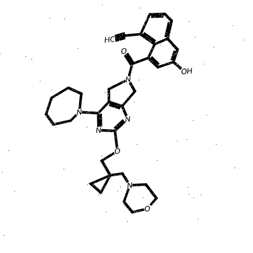 C#Cc1cccc2cc(O)cc(C(=O)N3Cc4nc(OCC5(CN6CCOCC6)CC5)nc(N5CCCCCC5)c4C3)c12